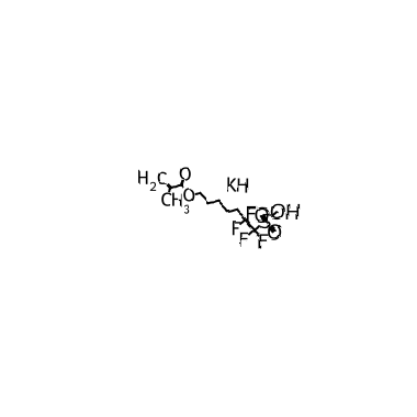 C=C(C)C(=O)OCCCCCC(F)(F)C(F)(F)S(=O)(=O)O.[KH]